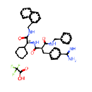 N=C(N)c1ccc(CC(C(=O)NCc2ccccc2)C(=O)N[C@H](C(=O)NCc2cccc3ccccc23)C2CCCCC2)cc1.O=C(O)C(F)(F)F